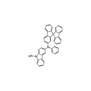 CCCn1c2ccccc2c2cc(N(c3ccccc3)c3ccc4c(c3)C3(c5ccccc5-c5ccccc53)c3ccccc3-4)ccc21